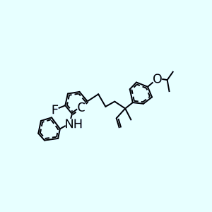 C=CC(C)(CCCc1ccc(F)c(Nc2ccccc2)c1)c1ccc(OC(C)C)cc1